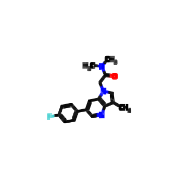 Cc1cn(CC(=O)N(C)C)c2cc(-c3ccc(F)cc3)cnc12